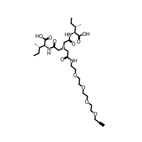 C#CCOCCOCCOCCOCCNC(=O)CN(CC(=O)N[C@H](C(=O)O)[C@@H](C)CC)CC(=O)N[C@H](C(=O)O)[C@@H](C)CC